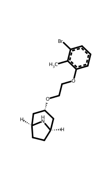 Cc1c(Br)cccc1OCCO[C@@H]1C[C@H]2CC[C@@H](C1)N2